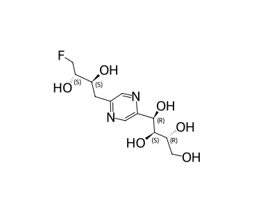 OC[C@@H](O)[C@@H](O)[C@H](O)c1cnc(C[C@H](O)[C@H](O)CF)cn1